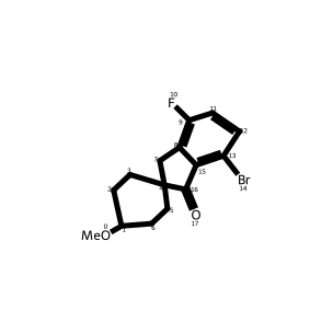 COC1CCC2(CC1)Cc1c(F)ccc(Br)c1C2=O